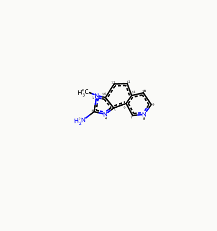 Cn1c(N)nc2c3cnccc3ccc21